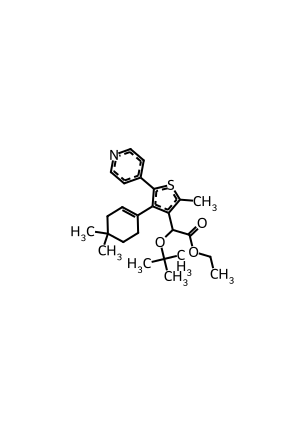 CCOC(=O)C(OC(C)(C)C)c1c(C)sc(-c2ccncc2)c1C1=CCC(C)(C)CC1